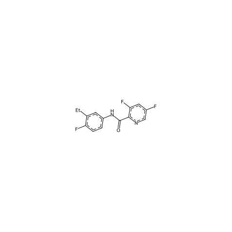 CCc1cc(NC(=O)c2ncc(F)cc2F)ccc1F